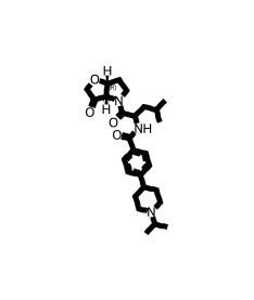 CC(C)CC(NC(=O)c1ccc(C2CCN(C(C)C)CC2)cc1)C(=O)N1CC[C@H]2OCC(=O)[C@H]21